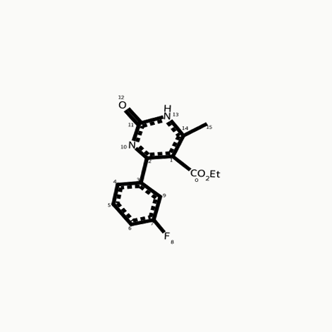 CCOC(=O)c1c(-c2cccc(F)c2)nc(=O)[nH]c1C